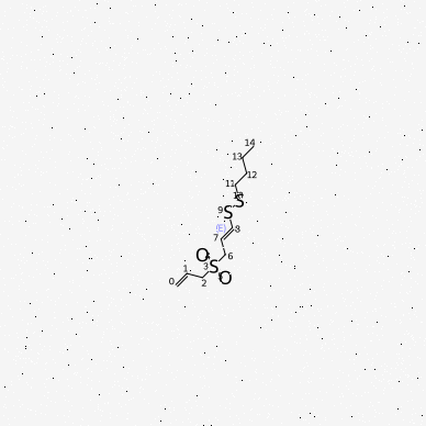 C=CCS(=O)(=O)C/C=C/SSCCCC